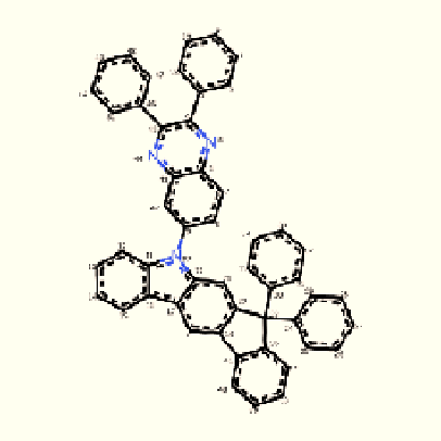 c1ccc(-c2nc3ccc(-n4c5ccccc5c5cc6c(cc54)C(c4ccccc4)(c4ccccc4)c4ccccc4-6)cc3nc2-c2ccccc2)cc1